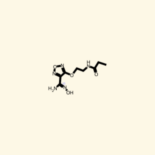 CCC(=O)NCCOc1nonc1/C(N)=N/O